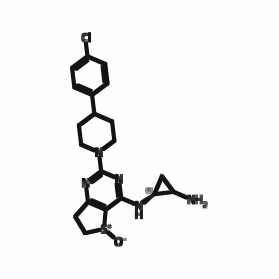 NC1C[C@@H]1Nc1nc(N2CCC(c3ccc(Cl)cc3)CC2)nc2c1[S+]([O-])CC2